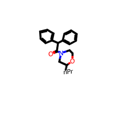 CCCC1CN(C(=O)C(c2ccccc2)c2ccccc2)CCO1